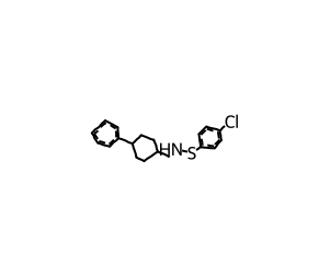 Clc1ccc(SNCC2CCC(c3ccccc3)CC2)cc1